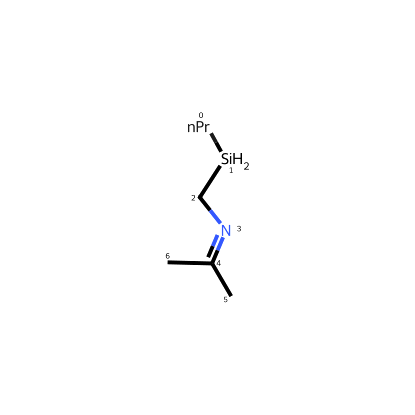 CCC[SiH2]CN=C(C)C